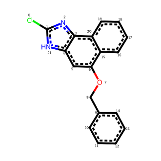 Clc1nc2c(cc(OCc3ccccc3)c3ccccc32)[nH]1